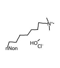 CCCCCCCCCCCCCCCC[N+](C)(C)C.CO.[Cl-]